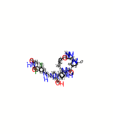 Cc1cc2cc(n1)-c1cnn(C)c1OCCC[C@@H](C)CN1/C(=N/C2=O)Nc2ccc(N3CCN(CCNc4cc(F)c([C@H]5CCC(=O)NC5=O)c(F)c4)C[C@@H]3CO)cc21